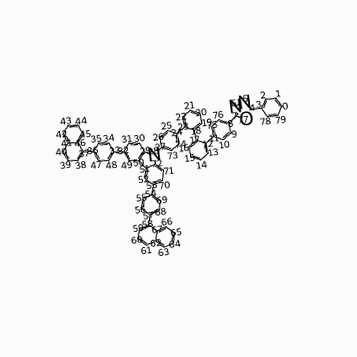 c1ccc(-c2nnc(-c3ccc(-c4ccccc4-c4ccccc4-c4ccc(-n5c6ccc(-c7ccc(-c8cccc9ccccc89)cc7)cc6c6cc(-c7ccc(-c8cccc9ccccc89)cc7)ccc65)cc4)cc3)o2)cc1